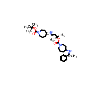 C[C@@H](NC1CCCN(C(=O)OC(C)(C)CCN[C@@H]2CCCN(C(=O)OC(C)(C)C)CC2)CC1)c1ccccc1